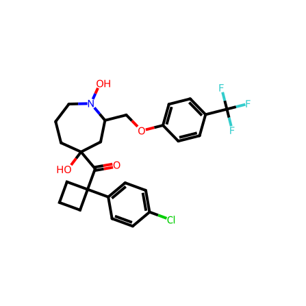 O=C(C1(O)CCCN(O)C(COc2ccc(C(F)(F)F)cc2)C1)C1(c2ccc(Cl)cc2)CCC1